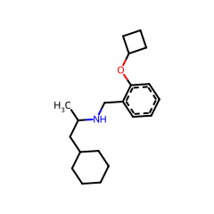 CC(CC1CCCCC1)NCc1ccccc1OC1CCC1